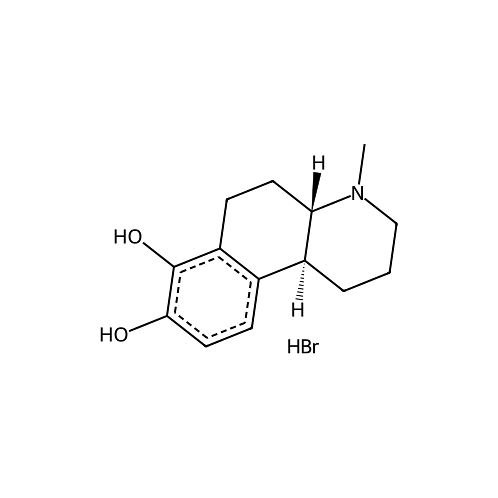 Br.CN1CCC[C@H]2c3ccc(O)c(O)c3CC[C@@H]21